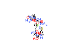 CC(=O)N1CC[C@H]2CC[C@@H](C(=O)N[C@@H](CCC(N)=O)COc3cccc(CCCCC(=O)N[C@H](C(=O)N4C[C@H](O)C[C@H]4C(=O)N[C@@H](C)c4ccc(-c5scnc5C)cc4)C(C)(C)C)c3F)N2C(=O)[C@@H](N)C1